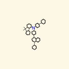 CC1(C)c2ccccc2-c2c(N(c3ccc(-c4ccccc4)cc3)c3ccc(-c4ccc(-c5ccccc5)c5ccccc45)cc3)cccc21